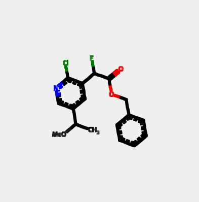 COC(C)c1cnc(Cl)c(C(F)C(=O)OCc2ccccc2)c1